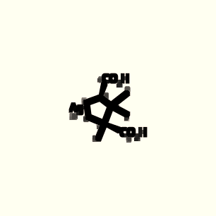 CC1(C)[C@H](C(=O)O)CC[C@]1(C)C(=O)O.[Ag]